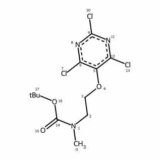 CN(CCOc1c(Cl)nc(Cl)nc1Cl)C(=O)OC(C)(C)C